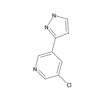 Clc1cncc(C2=N[N]C=C2)c1